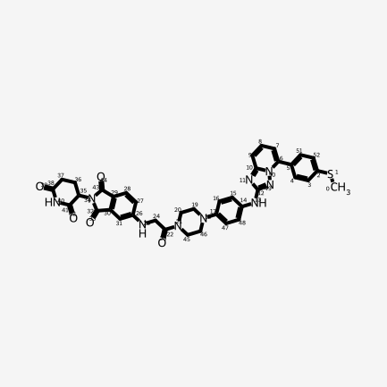 CSc1ccc(-c2cccc3nc(Nc4ccc(N5CCN(C(=O)CNc6ccc7c(c6)C(=O)N(C6CCC(=O)NC6=O)C7=O)CC5)cc4)nn23)cc1